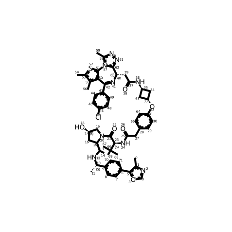 Cc1ncoc1-c1ccc([C@H](C)NC(C)C2C[C@@H](O)CN2C(=O)[C@@H](NC(=O)Cc2ccc(O[C@H]3C[C@H](NC(=O)C[C@@H]4N=C(c5ccc(Cl)cc5)c5c(sc(C)c5C)-n5c(C)nnc54)C3)cc2)C(C)(C)C)cc1